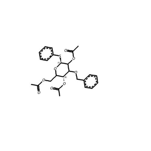 CC(=O)OCC1O[C@@H](Sc2ccccc2)C(OC(C)=O)C(OCc2ccccc2)[C@@H]1OC(C)=O